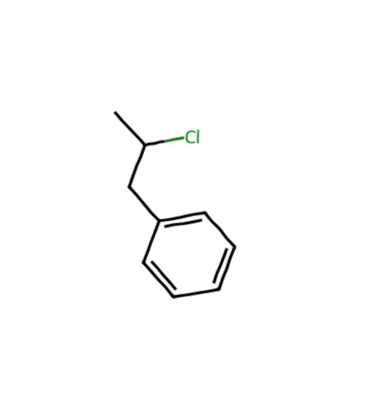 CC(Cl)Cc1ccccc1